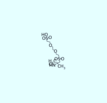 CC(C)(CS(=O)(=O)CCOCCOCCS(=O)(=O)O)NCl